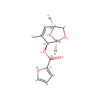 CC1=C[C@H]2CO[C@H](O2)[C@H]1OC(=O)c1ccco1